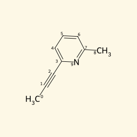 CC#Cc1cccc(C)n1